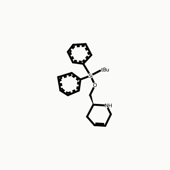 CC(C)(C)[Si](OC[C@@H]1CC=CCN1)(c1ccccc1)c1ccccc1